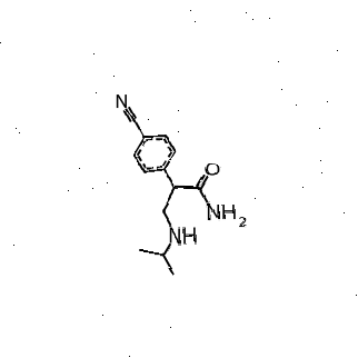 CC(C)NCC(C(N)=O)c1ccc(C#N)cc1